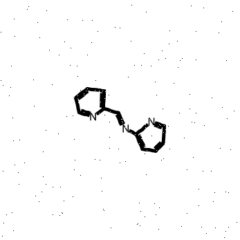 C(=Nc1ccccn1)c1ccccn1